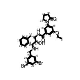 CCOc1cc(C(=O)N[C@@H](Cc2ccccc2)[C@@H](O)CNCc2cc(Br)cc(Br)c2)cc(N2CCCC2=O)c1